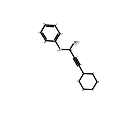 CC(C)(C)[C](C#CC1CCCCC1)Oc1ccccc1